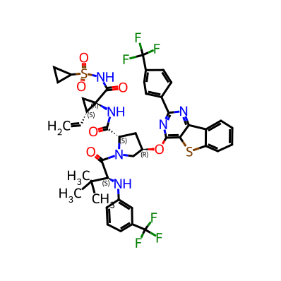 C=C[C@@H]1C[C@]1(NC(=O)[C@@H]1C[C@@H](Oc2nc(-c3ccc(C(F)(F)F)cc3)nc3c2sc2ccccc23)CN1C(=O)[C@@H](Nc1cccc(C(F)(F)F)c1)C(C)(C)C)C(=O)NS(=O)(=O)C1CC1